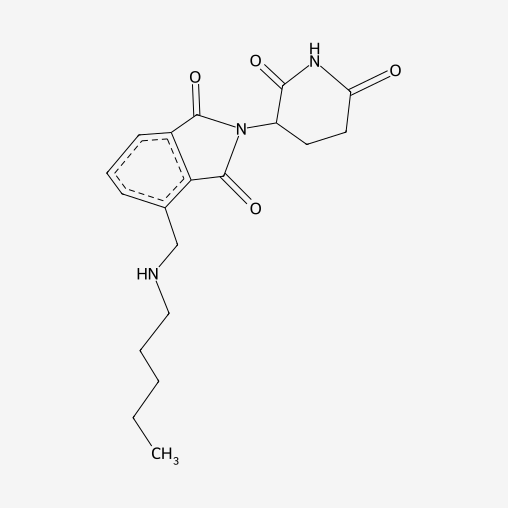 CCCCCNCc1cccc2c1C(=O)N(C1CCC(=O)NC1=O)C2=O